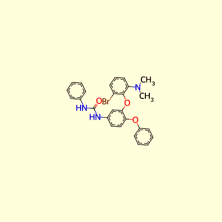 CN(C)c1cccc(Br)c1Oc1cc(NC(=O)Nc2ccccc2)ccc1Oc1ccccc1